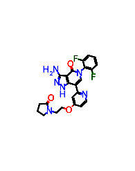 Nc1n[nH]c2c(-c3cc(OCCN4CCCC4=O)ccn3)cn(-c3c(F)cccc3F)c(=O)c12